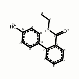 CCSC(=O)c1ccccc1-c1ccc(O)cc1